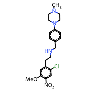 COc1cc(CCNCc2ccc(N3CCN(C)CC3)cc2)c(Cl)cc1[N+](=O)[O-]